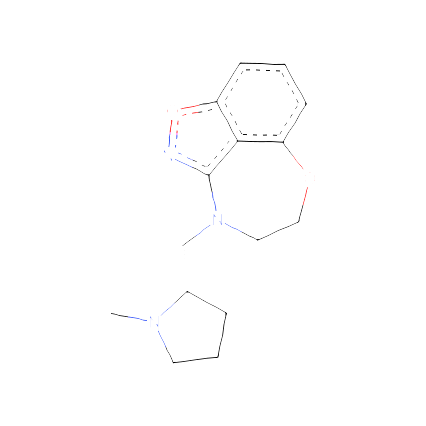 CN1CCC[C@H]1CN1CCOc2cccc3onc1c23